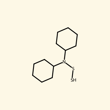 SSN(C1CCCCC1)C1CCCCC1